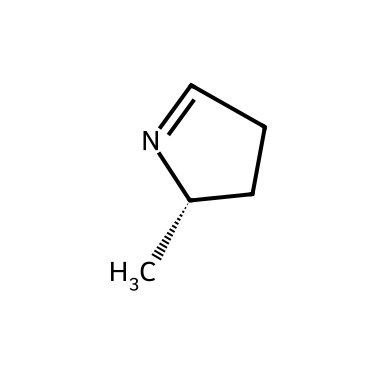 C[C@H]1CCC=N1